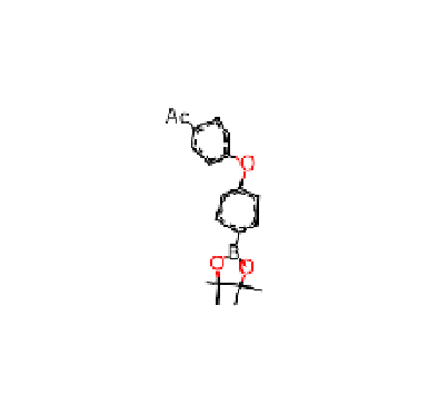 CC(=O)c1ccc(Oc2ccc(B3OC(C)(C)C(C)(C)O3)cc2)cc1